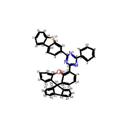 c1ccc(-c2nc(-c3ccc4c(c3)sc3ccccc34)nc(-c3cccc4c3Oc3ccccc3C43c4ccccc4-c4ccccc43)n2)cc1